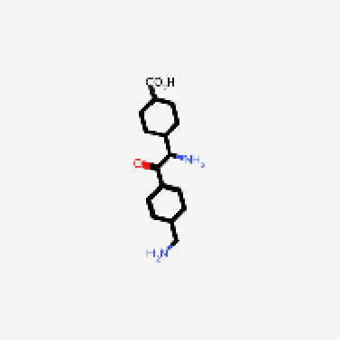 NCC1CCC(C(=O)C(N)C2CCC(C(=O)O)CC2)CC1